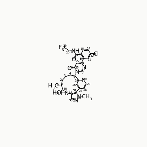 C[C@@H]1CCC[C@H](n2cnc(-c3cc(Cl)ccc3C(=O)NCC(F)(F)F)cc2=O)c2cc(ccn2)-c2c(cnn2C)NC1O